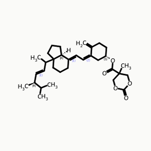 C=C1CC[C@H](OC(=O)C2(C)COC(=O)OC2)C/C1=C/C=C1\CCCC2(C(C)/C=C/[C@H](C)C(C)C)CCC[C@@H]12